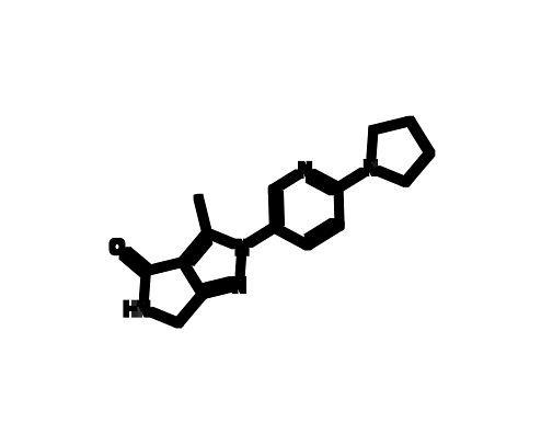 Cc1c2c(nn1-c1ccc(N3CCCC3)nc1)CNC2=O